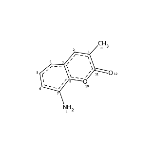 Cc1cc2cccc(N)c2oc1=O